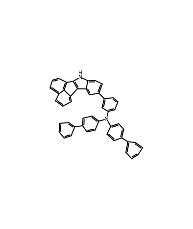 c1ccc(-c2ccc(N(c3ccc(-c4ccccc4)cc3)c3cccc(-c4ccc5[nH]c6c(c5c4)-c4cccc5cccc-6c45)c3)cc2)cc1